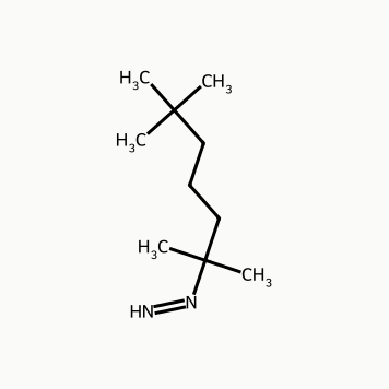 CC(C)(C)CCCC(C)(C)N=N